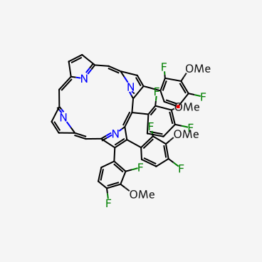 COc1c(F)ccc(C2=CC3=CC4=NC(=CC5=NC(=CC6=NC(=C(c7ccc(F)c(OC)c7F)C2=N3)C(c2ccc(F)c(OC)c2F)=C6c2ccc(F)c(OC)c2F)C=C5)C=C4)c1F